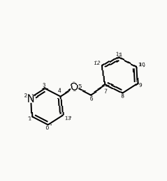 [c]1cncc(OCc2ccccc2)c1